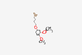 COc1ccc(OCCCCBr)cc1OC